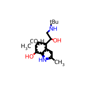 CC(=O)O.Cc1cc2c(C(O)CNC(C)(C)C)ccc(O)c2[nH]1